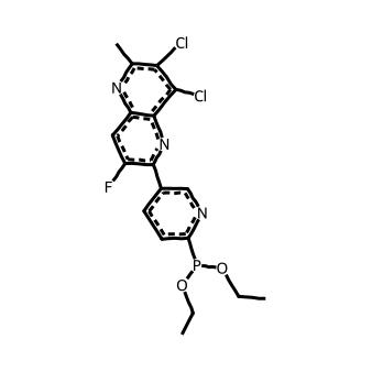 CCOP(OCC)c1ccc(-c2nc3c(Cl)c(Cl)c(C)nc3cc2F)cn1